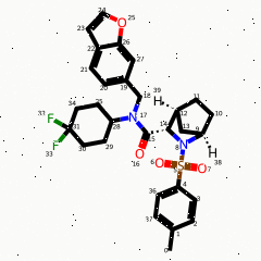 Cc1ccc(S(=O)(=O)N2[C@@H]3CC[C@@H](C3)[C@H]2C(=O)N(Cc2ccc3ccoc3c2)C2CCC(F)(F)CC2)cc1